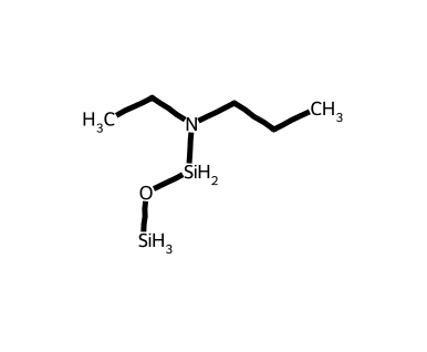 CCCN(CC)[SiH2]O[SiH3]